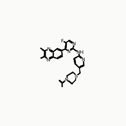 Cc1nc2ccc(-c3nc(Nc4ccc(CN5CCN(C(C)C)CC5)cn4)ncc3F)cc2nc1C